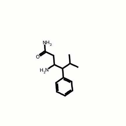 CC(C)C(c1ccccc1)C(N)CC(N)=O